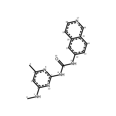 CNc1cc(C)nc(NC(=O)Nc2ccc3cnccc3c2)n1